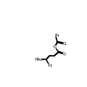 CCCCC(CC)CCC(=O)OC(=O)C(C)C